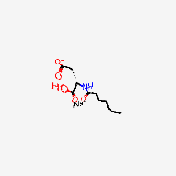 CCCCCC(=O)N[C@@H](CC(=O)[O-])C(=O)O.[Na+]